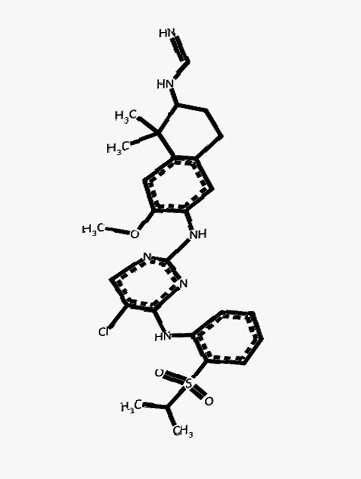 COc1cc2c(cc1Nc1ncc(Cl)c(Nc3ccccc3S(=O)(=O)C(C)C)n1)CCC(NC=N)C2(C)C